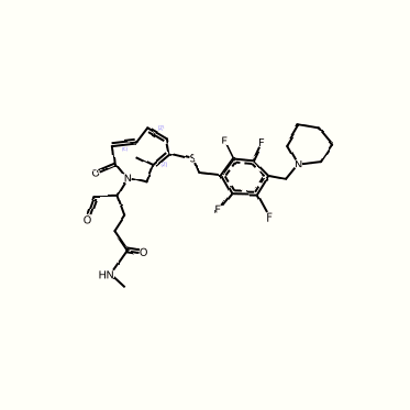 CNC(=O)CCC(C=O)N1C/C(C)=C(SCc2c(F)c(F)c(CN3CCCCC3)c(F)c2F)/C=C\C=C\C1=O